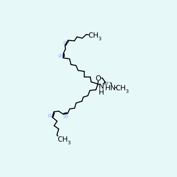 CCCCC/C=C\C/C=C\CCCCCCCCC1(CCCCCCCC/C=C\C/C=C\CCCCC)N[C@@H](CNC)CO1